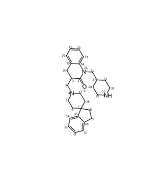 O=C1C(CN2CCC3(CCc4ccccc43)CC2)Cc2ccccc2N1CC1CCNCC1